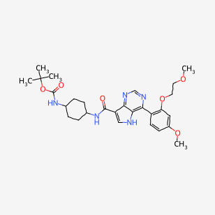 COCCOc1cc(OC)ccc1-c1ncnc2c(C(=O)NC3CCC(NC(=O)OC(C)(C)C)CC3)c[nH]c12